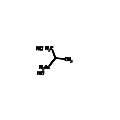 CC(C)[AsH2].Cl.Cl